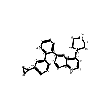 c1cc(-c2ncccc2-c2ccc3nccc(N4CCOCC4)c3c2)cc(C2CC2)c1